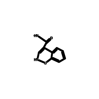 [NH]C(=O)C1=CNOc2ccccc21